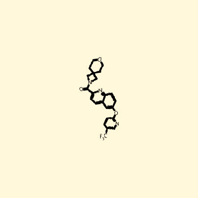 O=C(c1ccc2cc(Oc3ccc(C(F)(F)F)cn3)ccc2n1)N1CC2(CCOCC2)C1